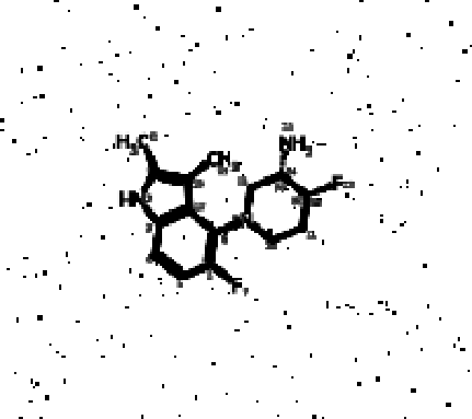 Cc1[nH]c2ccc(F)c(N3CC[C@H](F)[C@@H](N)C3)c2c1C